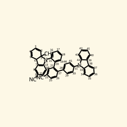 CC12C=CC=CC1c1cc(C#N)ccc1N2c1ccccc1-c1cc(C#N)ccc1-c1ccc(-n2c3ccccc3c3ccccc32)cc1